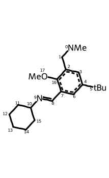 CNCc1cc(C(C)(C)C)cc(/C=N/C2CCCCC2)c1OC